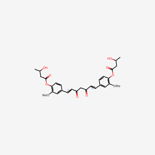 COc1cc(/C=C/C(=O)CC(=O)/C=C/c2ccc(OC(=O)CC(C)O)c(OC)c2)ccc1OC(=O)CC(C)O